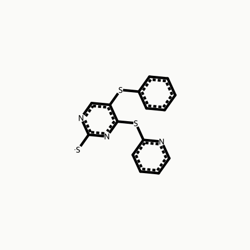 [S]c1ncc(Sc2ccccc2)c(Sc2ccccn2)n1